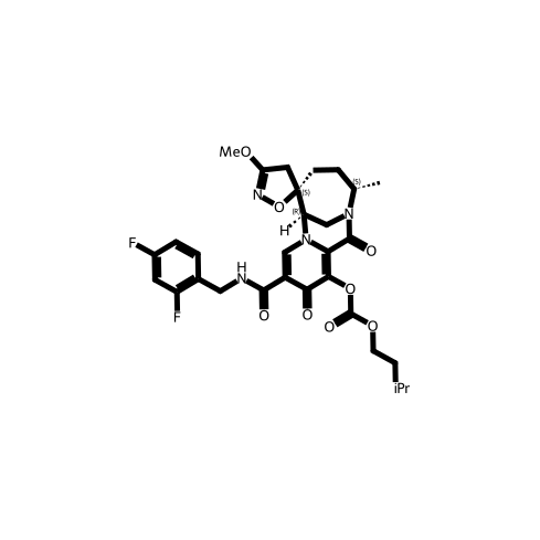 COC1=NO[C@@]2(CC[C@H](C)N3C[C@H]2n2cc(C(=O)NCc4ccc(F)cc4F)c(=O)c(OC(=O)OCCC(C)C)c2C3=O)C1